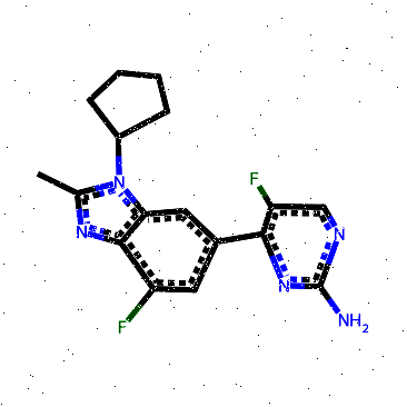 Cc1nc2c(F)cc(-c3nc(N)ncc3F)cc2n1C1CCCC1